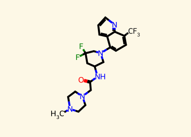 CN1CCN(CC(=O)NC2CN(c3ccc(C(F)(F)F)c4ncccc34)CC(F)(F)C2)CC1